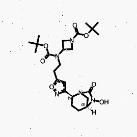 CC(C)(C)OC(=O)N1CC(N(CCc2cc([C@@H]3CC[C@H]4CN3C(=O)N4O)no2)C(=O)OC(C)(C)C)C1